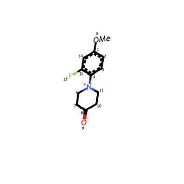 COc1ccc(N2CCC(=O)CC2)c(F)c1